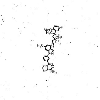 COc1ccc(F)cc1C(C)(C)CC(O)(CNc1cc(C)cc2c1cnn2-c1cccc(C(=O)N2CCCCC2C(N)=O)c1)C(F)(F)F